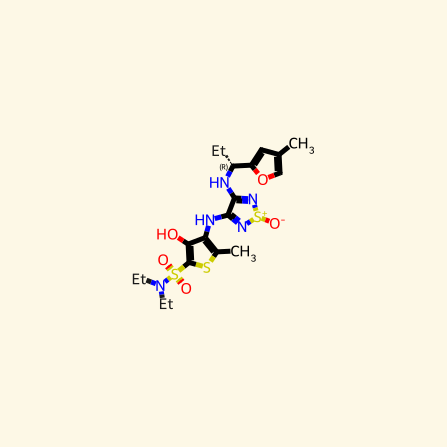 CC[C@@H](Nc1n[s+]([O-])nc1Nc1c(C)sc(S(=O)(=O)N(CC)CC)c1O)c1cc(C)co1